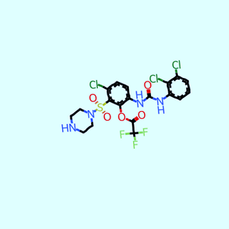 O=C(Nc1cccc(Cl)c1Cl)Nc1ccc(Cl)c(S(=O)(=O)N2CCNCC2)c1OC(=O)C(F)(F)F